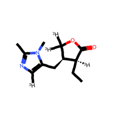 [2H]c1nc(C)n(C)c1C[C@H]1C([2H])([2H])OC(=O)[C@@]1([2H])CC